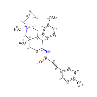 COc1cccc([C@@]23CC[N@+](C)(CC4CC4)CC2(OC(C)=O)CC[C@H](NC(=O)C#Cc2ccc(C(F)(F)F)cc2)C3)c1